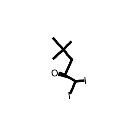 CC(C)(C)CC(=O)C(I)I